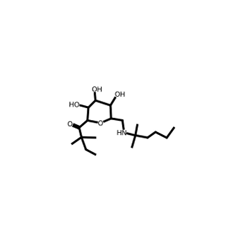 CCCCC(C)(C)NCC1OC(C(=O)C(C)(C)CC)C(O)C(O)C1O